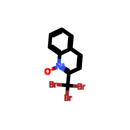 [O-][n+]1c(C(Br)(Br)Br)ccc2ccccc21